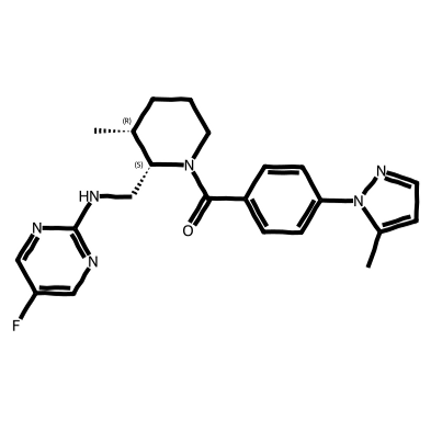 Cc1ccnn1-c1ccc(C(=O)N2CCC[C@@H](C)[C@H]2CNc2ncc(F)cn2)cc1